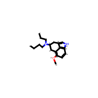 CCCCN(CCC)C1Cc2c[nH]c3ccc(OC)c(c23)C1